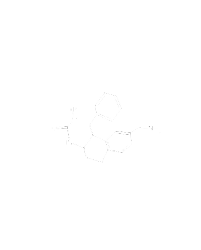 CC(C)(C)OC(=O)NC1CCc2ccc(CN)cc2C1Cc1ccccc1